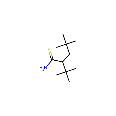 CC(C)(C)CC(C(N)=S)C(C)(C)C